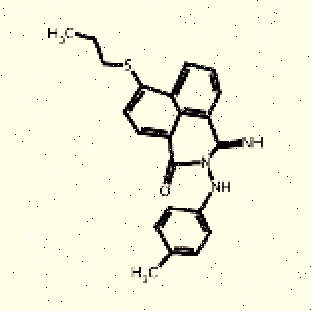 CCCSc1ccc2c3c(cccc13)C(=N)N(Nc1ccc(C)cc1)C2=O